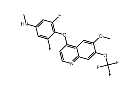 CNc1cc(F)c(Oc2ccnc3cc(OC(F)(F)F)c(OC)cc23)c(F)c1